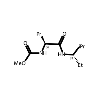 CC[C@H](NC(=O)[C@@H](NC(=O)OC)C(C)C)C(C)C